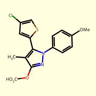 COc1ccc(-n2nc(OC(=O)O)c(C)c2-c2cc(Cl)cs2)cc1